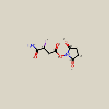 NC(=O)C(I)CC(=O)ON1C(=O)CCC1=O